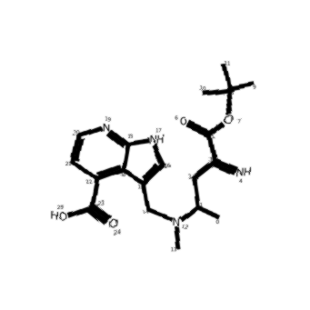 CC(CC(=N)C(=O)OC(C)(C)C)N(C)Cc1c[nH]c2nccc(C(=O)O)c12